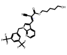 N#C/C(=C\c1cn(Cc2cc(C(F)(F)F)cc(C(F)(F)F)c2)c2ncccc12)C(=O)OCCCCCO